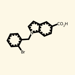 O=C(O)c1ccc2c(ccn2Cc2ccccc2Br)c1